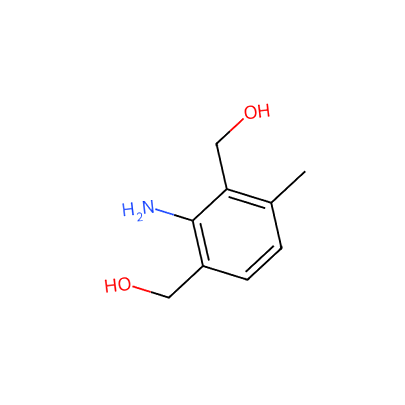 Cc1ccc(CO)c(N)c1CO